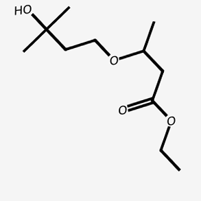 CCOC(=O)CC(C)OCCC(C)(C)O